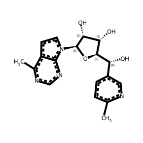 Cc1ccc([C@@H](O)[C@H]2O[C@@H](n3ccc4c(C)ncnc43)[C@H](O)[C@@H]2O)cn1